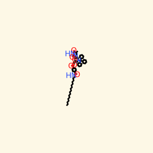 CCCCCCCCCCCCCCCCCCNC(=O)c1ccc(C(=O)OC[C@@H]2CN(C(c3ccccc3)(c3ccccc3)c3ccccc3)C[C@H](n3cc(C)c(=O)[nH]c3=O)O2)cc1